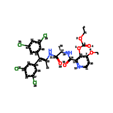 CCOC(=O)Oc1c(OC)ccnc1C(=O)N[C@@H](C)C(=O)NC(C)=C(c1cc(Cl)cc(Cl)c1)c1cc(Cl)cc(Cl)c1